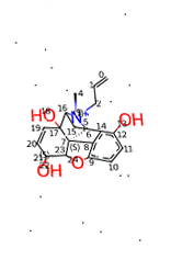 C=CC[N@+]1(C)CC[C@@]23c4c5ccc(O)c4CC1C2(O)C=C[C@H](O)C3O5